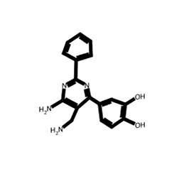 NCc1c(N)nc(-c2ccccc2)nc1-c1ccc(O)c(O)c1